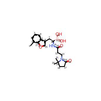 Cc1cccc2c(C[C@H](NC(=O)CCN3C(=O)CCC3(C)C)B(O)O)coc12